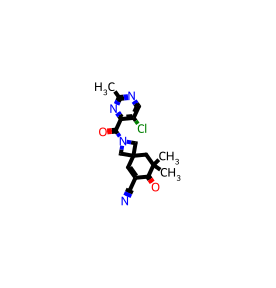 Cc1ncc(Cl)c(C(=O)N2CC3(C=C(C#N)C(=O)C(C)(C)C3)C2)n1